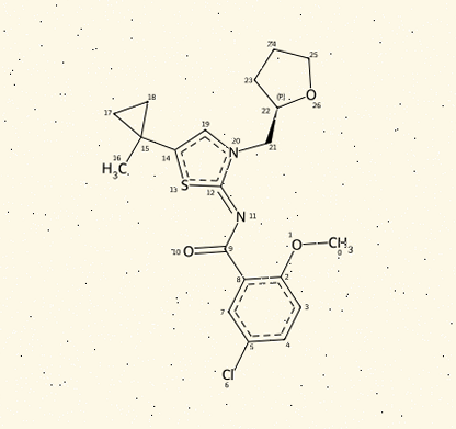 COc1ccc(Cl)cc1C(=O)N=c1sc(C2(C)CC2)cn1C[C@H]1CCCO1